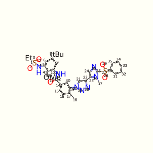 CCS(=O)(=O)Nc1cc(C(C)(C)C)cc(NC(=O)c2ccc(C)c(-n3cc(-c4cnc(S(=O)(=O)c5ccccc5)n4C)nn3)c2)c1OC